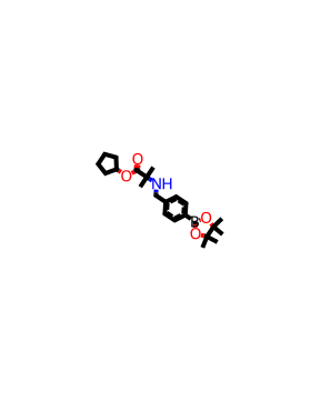 CC(C)(NCc1ccc(B2OC(C)(C)C(C)(C)O2)cc1)C(=O)OC1CCCC1